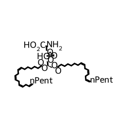 CCCCC/C=C\C/C=C\C/C=C\C/C=C\CCCCCC(=O)O[C@H](COC(=O)CCCCCC/C=C\C/C=C\C/C=C\CCCCC)COP(=O)(O)OC[C@H](N)C(=O)O